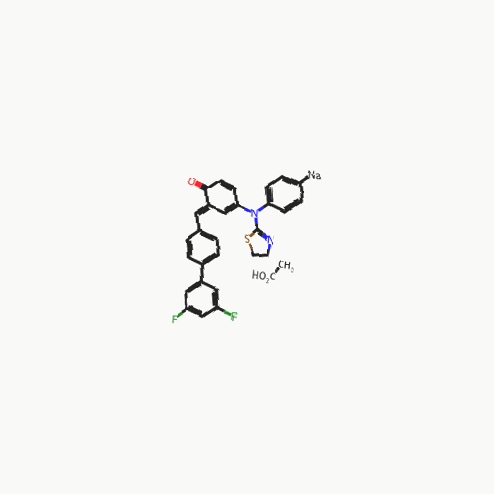 CC(=O)O.O=C1C=CC(N(C2=NCCS2)c2cc[c]([Na])cc2)=CC1=Cc1ccc(-c2cc(F)cc(F)c2)cc1